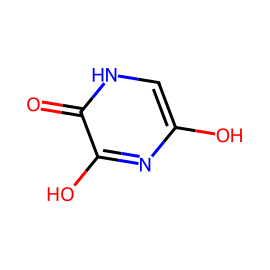 O=c1[nH]cc(O)nc1O